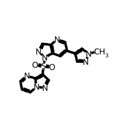 Cn1cc(-c2cnc3cnn(S(=O)(=O)c4cnn5cccnc45)c3c2)cn1